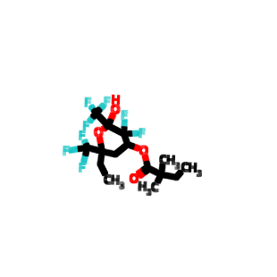 CCC(C)(C)C(=O)OC1CC(CC)(C(F)(F)F)OC(O)(C(F)(F)F)C1(F)F